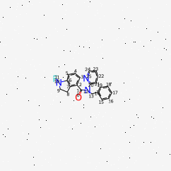 O=C(c1cccc2c1CCN2F)N(Cc1ccccc1)c1ccccn1